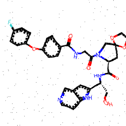 O=C(NCC(=O)N1CC2(C[C@H]1C(=O)N[C@H](CO)c1cc3cnccc3[nH]1)OCCO2)c1ccc(Oc2ccc(F)cc2)cc1